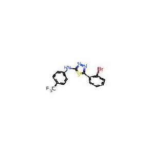 FC(F)(F)c1ccc(Nc2nnc(-c3ccccc3Br)s2)cc1